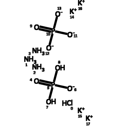 Cl.N.N.N.O=P([O-])(O)O.O=P([O-])([O-])[O-].[K+].[K+].[K+].[K+]